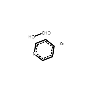 O=CO.[Zn].c1ccncc1